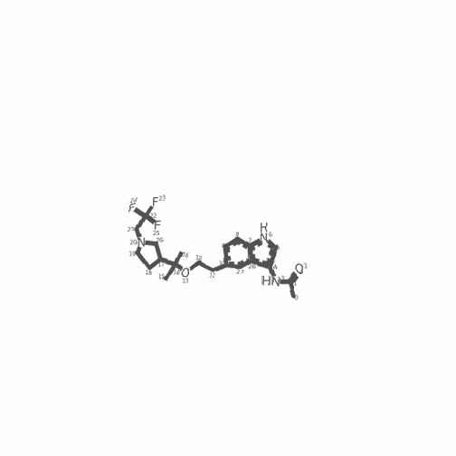 CC(=O)Nc1c[nH]c2ccc(CCOC(C)(C)C3CCN(CC(F)(F)F)C3)cc12